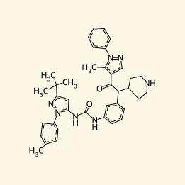 Cc1ccc(-n2nc(C(C)(C)C)cc2NC(=O)Nc2cccc(C(C(=O)c3cnn(-c4ccccc4)c3C)C3CCNCC3)c2)cc1